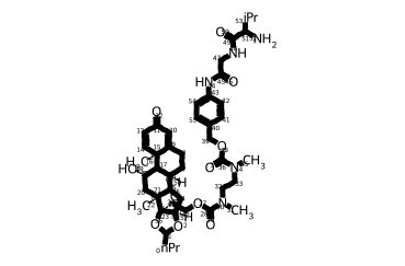 CCCC1O[C@@H]2CC3[C@@H]4CCC5=CC(=O)C=C[C@]5(C)C4[C@@H](O)C[C@]3(C)[C@]2(C(=O)COC(=O)N(C)CCN(C)C(=O)OCc2ccc(NC(=O)CNC(=O)C(N)C(C)C)cc2)O1